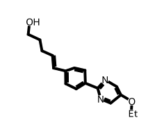 CCOc1cnc(-c2ccc(C=CCCCO)cc2)nc1